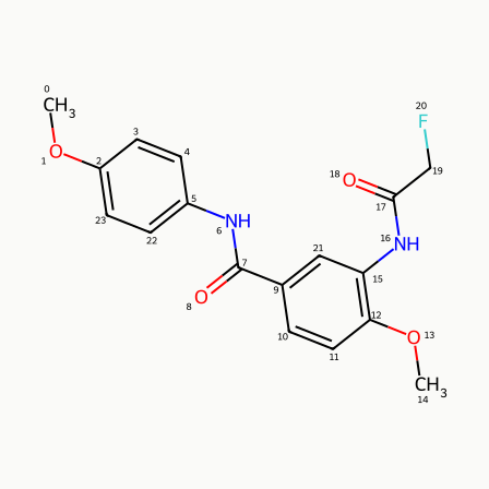 COc1ccc(NC(=O)c2ccc(OC)c(NC(=O)CF)c2)cc1